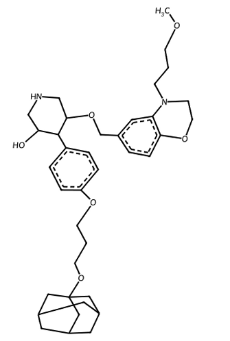 COCCCN1CCOc2ccc(COC3CNCC(O)C3c3ccc(OCCCOC45CC6CC(CC(C6)C4)C5)cc3)cc21